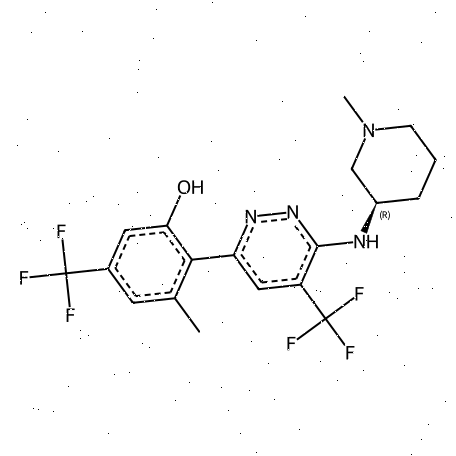 Cc1cc(C(F)(F)F)cc(O)c1-c1cc(C(F)(F)F)c(N[C@@H]2CCCN(C)C2)nn1